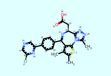 Cc1sc2c(c1C)C(c1ccc(-c3cncc(Cl)n3)cc1)=N[C@@H](CC(=O)O)c1nnc(C)n1-2